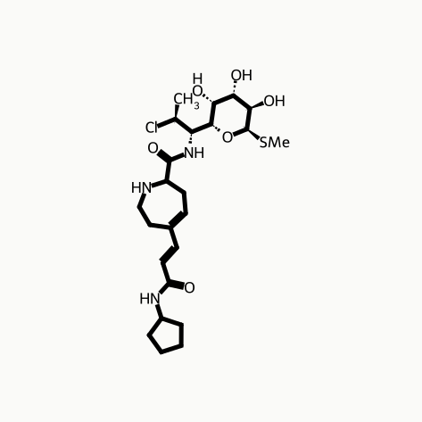 CS[C@H]1O[C@H]([C@H](NC(=O)C2CC=C(/C=C/C(=O)NC3CCCC3)CCN2)[C@H](C)Cl)[C@H](O)[C@H](O)[C@H]1O